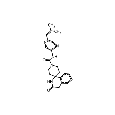 CC(C)=Cc1cnc(NC(=O)N2CCC3(CC2)NC(=O)Cc2ccccc23)cn1